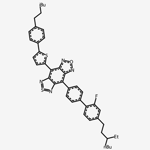 CCCCC(CC)CCc1ccc(-c2ccc(-c3c4c(c(-c5ccc(-c6ccc(CCC(C)CC)cc6)s5)c5nonc35)N=S=N4)cc2)c(F)c1